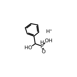 O=[PH](O)C(O)c1ccccc1.[H+]